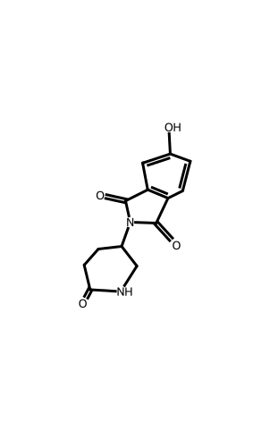 O=C1CCC(N2C(=O)c3ccc(O)cc3C2=O)CN1